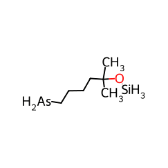 CC(C)(CCCC[AsH2])O[SiH3]